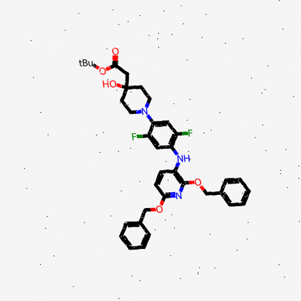 CC(C)(C)OC(=O)CC1(O)CCN(c2cc(F)c(Nc3ccc(OCc4ccccc4)nc3OCc3ccccc3)cc2F)CC1